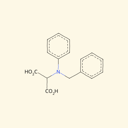 O=C(O)C(C(=O)O)N(Cc1ccccc1)c1ccccc1